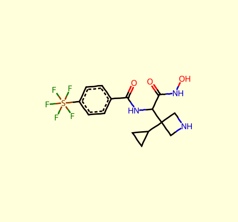 O=C(NC(C(=O)NO)C1(C2CC2)CNC1)c1ccc(S(F)(F)(F)(F)F)cc1